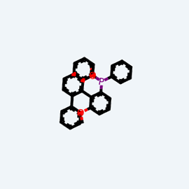 COc1cccc(-c2ccccc2)c1-c1c(OC)cccc1P(c1ccccc1)c1ccccc1